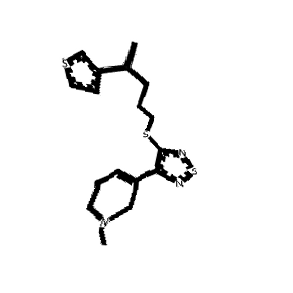 CC(CCCSc1nsnc1C1=CCCN(C)C1)c1ccsc1